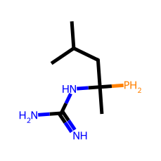 CC(C)CC(C)(P)NC(=N)N